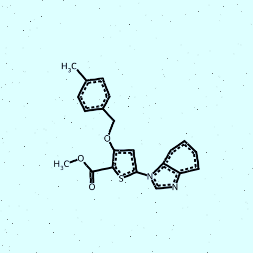 COC(=O)c1sc(-n2cnc3ccccc32)cc1OCc1ccc(C)cc1